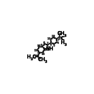 CC(C)c1ccc(-c2cc3ccc(C(C)C)cc3[nH]2)cc1